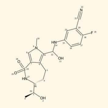 C[C@H](O)[C@H]1CCc2c(cn(C)c2C(O)Nc2ccc(F)c(C#N)c2)S(=O)(=O)N1